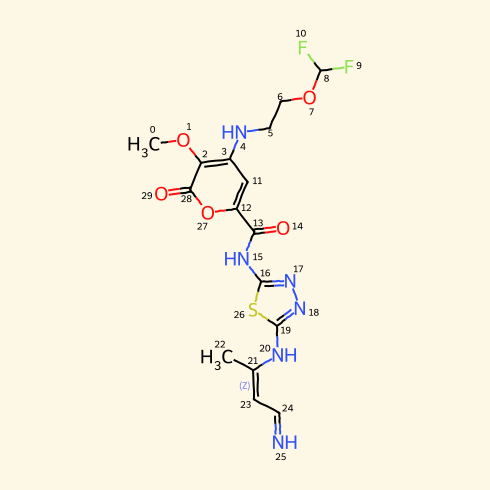 COc1c(NCCOC(F)F)cc(C(=O)Nc2nnc(N/C(C)=C\C=N)s2)oc1=O